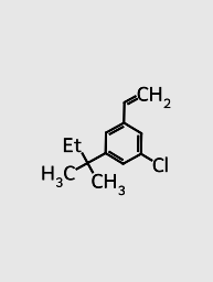 C=Cc1cc(Cl)cc(C(C)(C)CC)c1